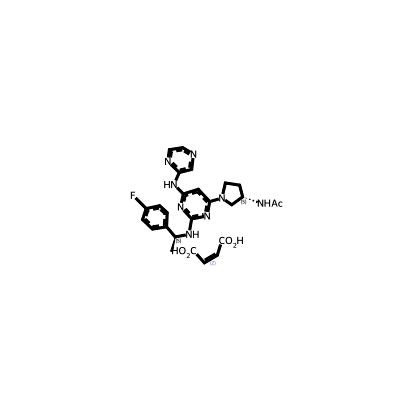 CC(=O)N[C@H]1CCN(c2cc(Nc3cnccn3)nc(N[C@@H](C)c3ccc(F)cc3)n2)C1.O=C(O)/C=C\C(=O)O